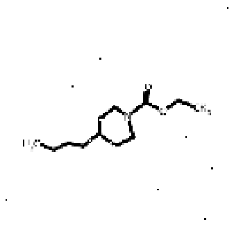 CCCCC1CCN(C(=O)OCC)CC1